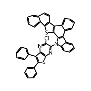 Clc1nc2c(-c3ccccc3)c(-c3ccccc3)sc2nc1-n1c2ccccc2c2c3ccccc3c3c4ccc5ccccc5c4sc3c21